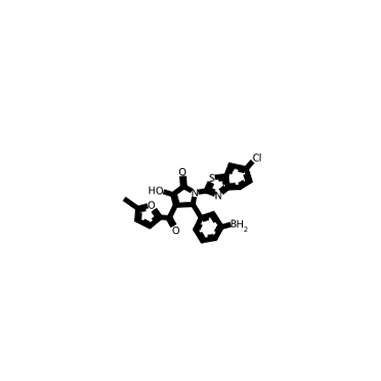 Bc1cccc(C2C(C(=O)c3ccc(C)o3)=C(O)C(=O)N2c2nc3ccc(Cl)cc3s2)c1